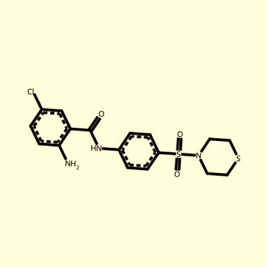 Nc1ccc(Cl)cc1C(=O)Nc1ccc(S(=O)(=O)N2CCSCC2)cc1